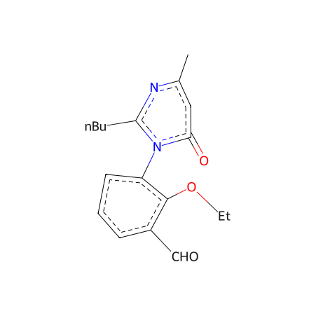 CCCCc1nc(C)cc(=O)n1-c1cccc(C=O)c1OCC